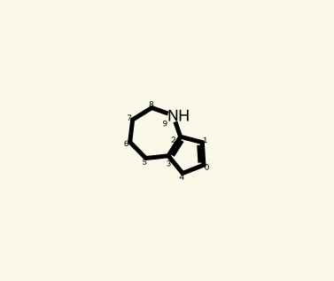 C1=CC2=C(C1)CCCCN2